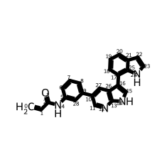 C=CC(=O)Nc1cccc(-c2cnc3[nH]cc(-c4cccc5cc[nH]c45)c3c2)c1